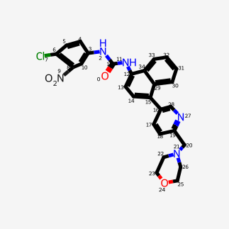 O=C(Nc1ccc(Cl)c([N+](=O)[O-])c1)Nc1ccc(-c2ccc(CN3CCOCC3)nc2)c2ccccc12